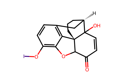 O=C1C=CC2(O)[C@@H]3CCC[C@@]24c2c(ccc(OI)c2OC14)C3